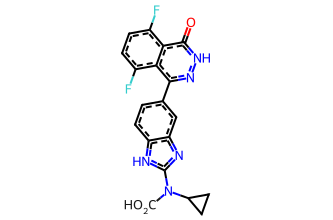 O=C(O)N(c1nc2cc(-c3n[nH]c(=O)c4c(F)ccc(F)c34)ccc2[nH]1)C1CC1